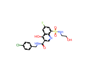 O=C(NCc1ccc(Cl)cc1)c1cnc2c(S(=O)(=O)NCCO)cc(F)cc2c1O